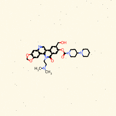 CN(C)CCn1c(=O)c2cc(OC(=O)N3CCC(N4CCCCC4)CC3)c(CO)cc2c2cnc3cc4c(cc3c21)OCO4